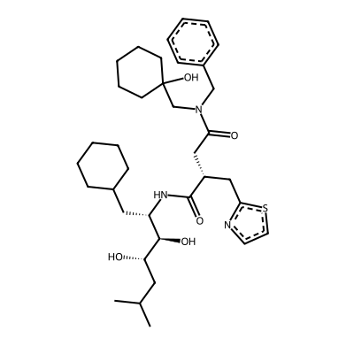 CC(C)C[C@H](O)[C@H](O)[C@H](CC1CCCCC1)NC(=O)[C@H](CC(=O)N(Cc1ccccc1)CC1(O)CCCCC1)Cc1nccs1